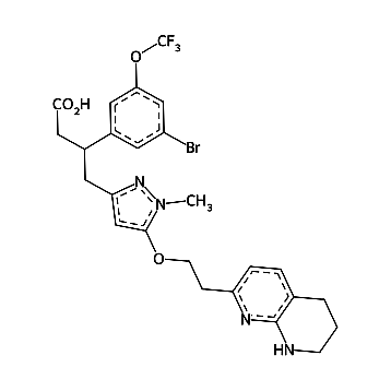 Cn1nc(CC(CC(=O)O)c2cc(Br)cc(OC(F)(F)F)c2)cc1OCCc1ccc2c(n1)NCCC2